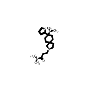 CN(C)C(=O)CCN1CCC2(CCC(c3cccs3)(N(C)C)CC2)C1